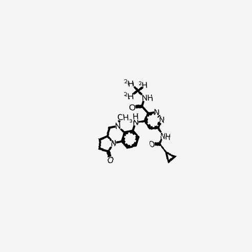 [2H]C([2H])([2H])NC(=O)c1nnc(NC(=O)C2CC2)cc1Nc1cccc2c1N(C)CC1CCC(=O)N21